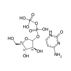 Nc1cc[nH]c(=O)n1.O=P(O)(O)OP(=O)(O)OC1O[C@H](CO)[C@@H](O)[C@@H]1O